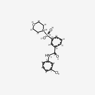 O=C(Nc1cccc(Cl)c1)c1cccc(S(=O)(=O)N2CCOCC2)c1